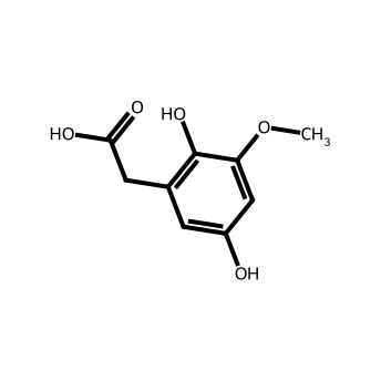 COc1cc(O)cc(CC(=O)O)c1O